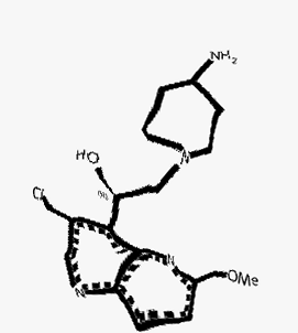 COc1ccc2ncc(Cl)c([C@@H](O)CN3CCC(N)CC3)c2n1